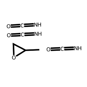 CC1CO1.N=C=O.N=C=O.N=C=O